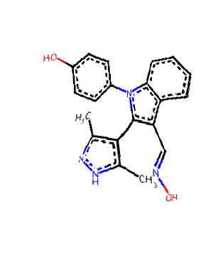 Cc1n[nH]c(C)c1-c1c(C=NO)c2ccccc2n1-c1ccc(O)cc1